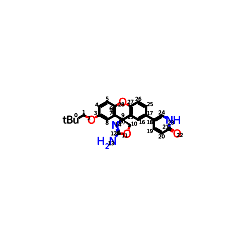 CC(C)(C)COc1ccc2c(c1)[C@]1(COC(N)=N1)c1cc(-c3ccc(=O)[nH]c3)ccc1O2